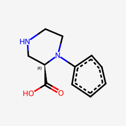 O=C(O)[C@H]1CNCCN1c1ccccc1